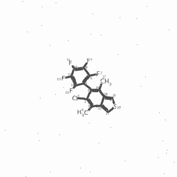 Cc1c(Cl)c(-c2c(F)c(F)c(F)c(F)c2F)c(C)c2cscc12